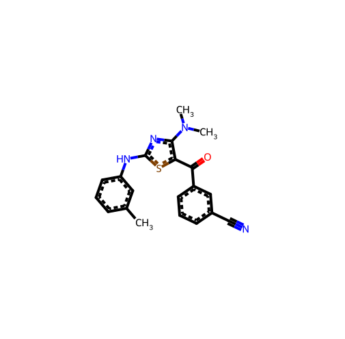 Cc1cccc(Nc2nc(N(C)C)c(C(=O)c3cccc(C#N)c3)s2)c1